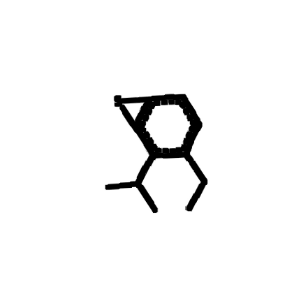 CCc1ccc2c(c1C(C)C)S2